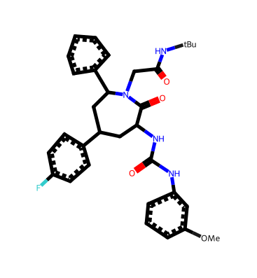 COc1cccc(NC(=O)NC2CC(c3ccc(F)cc3)CC(c3ccccc3)N(CC(=O)NC(C)(C)C)C2=O)c1